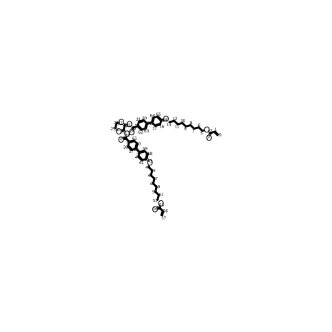 C=CC(=O)OCCCCCCCCCOc1ccc(-c2ccc(C(=O)O[C@H]3OCCO[C@@H]3OC(=O)c3ccc(-c4ccc(OCCCCCCCCCOC(=O)C=C)cc4)cc3)cc2)cc1